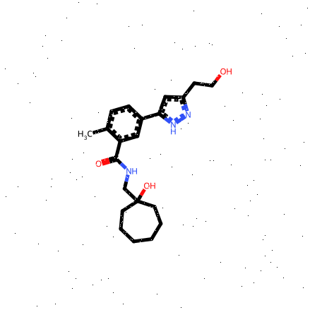 Cc1ccc(-c2cc(CCO)n[nH]2)cc1C(=O)NCC1(O)CCCCCC1